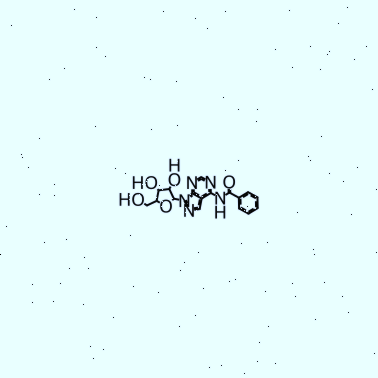 O=C(Nc1ncnc2c1cnn2C1OC(CO)C(O)C1O)c1ccccc1